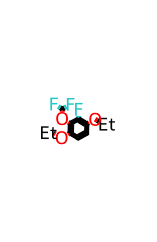 CCOc1ccc(OCC)c(OC(F)F)c1F